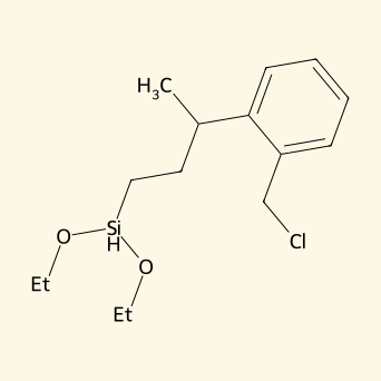 CCO[SiH](CCC(C)c1ccccc1CCl)OCC